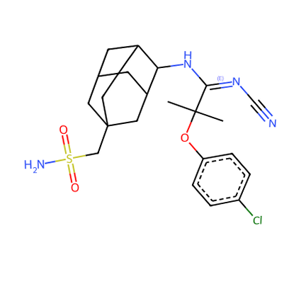 CC(C)(Oc1ccc(Cl)cc1)/C(=N\C#N)NC1C2CC3CC1CC(CS(N)(=O)=O)(C3)C2